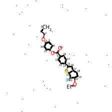 C=CCOc1ccc(OC(=O)c2ccc(-c3cc4ccc(OCC)c(F)c4s3)cc2)cc1